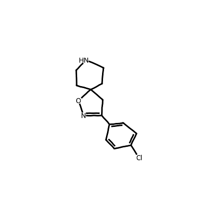 Clc1ccc(C2=NOC3(CCNCC3)C2)cc1